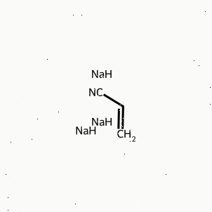 C=CC#N.[NaH].[NaH].[NaH]